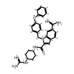 N=C(N)N[C@H]1CC[C@H](NC(=O)c2cc3ccc(C(=N)N)cc3n2Cc2ccc(Oc3ccccc3)cc2)CC1